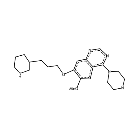 COc1cc2c(N3CC[N]CC3)ncnc2cc1OCCCC1CCCNC1